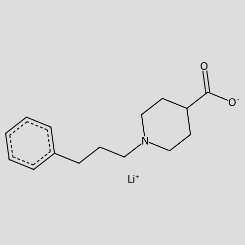 O=C([O-])C1CCN(CCCc2ccccc2)CC1.[Li+]